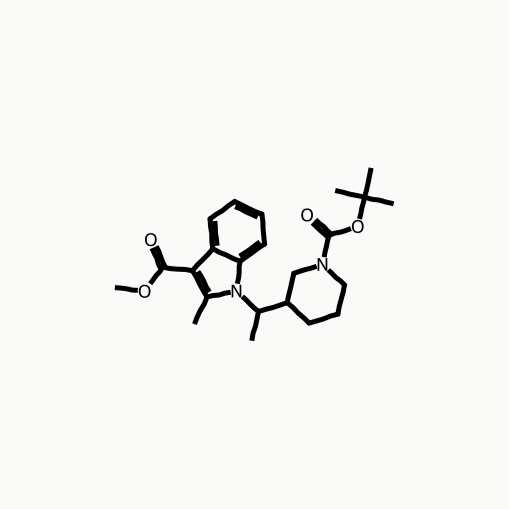 COC(=O)c1c(C)n(C(C)C2CCCN(C(=O)OC(C)(C)C)C2)c2ccccc12